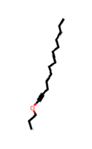 [CH2]CCOC#CCCCCCCCCCCC